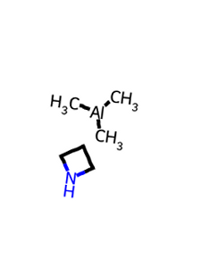 C1CNC1.[CH3][Al]([CH3])[CH3]